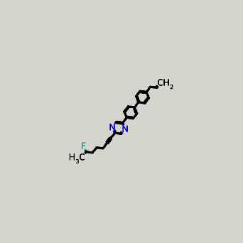 C=CCc1ccc(-c2ccc(-c3cnc(C#CCCCC(C)F)cn3)cc2)cc1